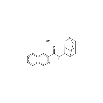 Cl.O=C(NC1C2CC3CC1CN(C3)C2)c1cc2ccccc2cn1